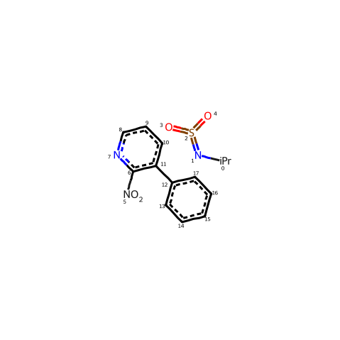 CC(C)N=S(=O)=O.O=[N+]([O-])c1ncccc1-c1ccccc1